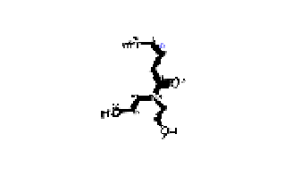 CCC/C=C\CC(=O)N(CCO)CCO